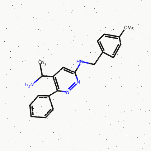 COc1ccc(CNc2cc(C(C)N)c(-c3ccccc3)nn2)cc1